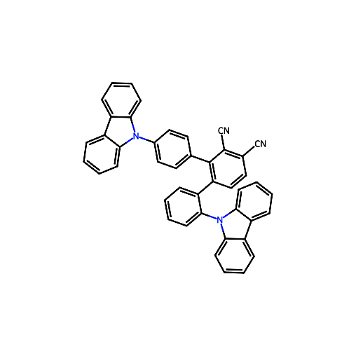 N#Cc1ccc(-c2ccccc2-n2c3ccccc3c3ccccc32)c(-c2ccc(-n3c4ccccc4c4ccccc43)cc2)c1C#N